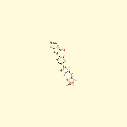 CC(=O)NCC1CN(c2ccc(-n3cc(Cc4noc(C)n4)nn3)c(F)c2)C(=O)O1